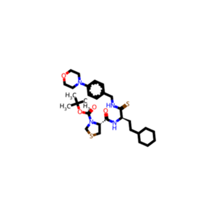 CC(C)(C)OC(=O)N1CSC[C@H]1C(=O)N[C@H](CCC1CCCCC1)C(=S)NCc1ccc(N2CCOCC2)cc1